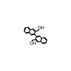 OCC1=CC2C=CC=CC2C=C1c1cc2ccccc2cc1CO